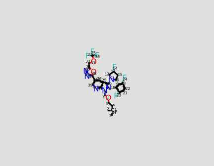 C[Si](C)(C)CCOCn1nc(N2C[C@@H](F)C[C@@H]2c2cc(F)ccc2F)c2cc(-c3nnc(COC(F)(F)F)o3)cnc21